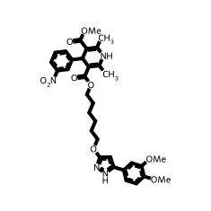 COC(=O)C1=C(C)NC(C)=C(C(=O)OCCCCCCOc2cc(-c3ccc(OC)c(OC)c3)[nH]n2)C1c1cccc([N+](=O)[O-])c1